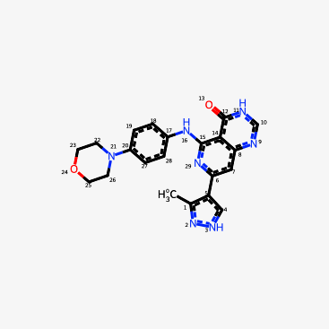 Cc1n[nH]cc1-c1cc2nc[nH]c(=O)c2c(Nc2ccc(N3CCOCC3)cc2)n1